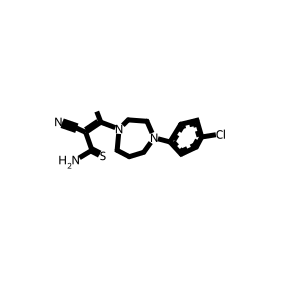 CC(=C(C#N)C(N)=S)N1CCCN(c2ccc(Cl)cc2)CC1